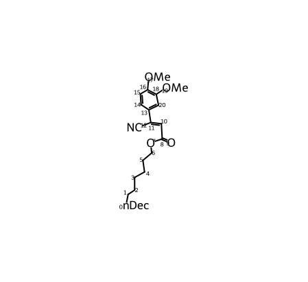 CCCCCCCCCCCCCCCCOC(=O)C=C(C#N)c1ccc(OC)c(OC)c1